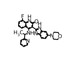 CC(Nc1c(-c2nc3ccc(N4CCOCC4)cc3[nH]2)c(=O)[nH]c2c(F)cccc12)c1ccccn1